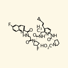 C[C@@H](NC(=O)[C@@H]1C[C@@H](F)CN1C(=O)CNC(=O)c1ccc2cc(F)ccc2n1)c1nc(NC(=O)[C@@H]2CCCN2C(=O)O)ccc1/C=C/C1CC1